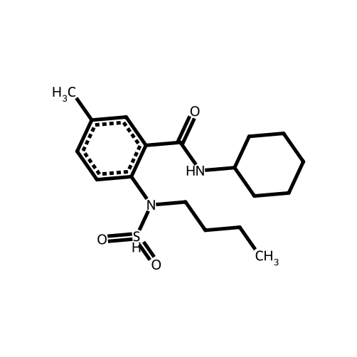 CCCCN(c1ccc(C)cc1C(=O)NC1CCCCC1)[SH](=O)=O